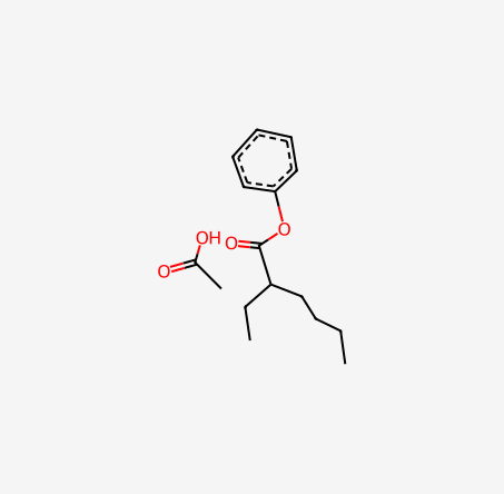 CC(=O)O.CCCCC(CC)C(=O)Oc1ccccc1